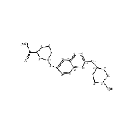 COC(=O)C1CCCN(Cc2ccc3cc(OC4CCC(C(C)(C)C)CC4)ccc3c2)C1